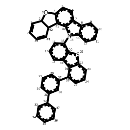 C1=CC2Oc3ccc4c5ccccc5n(-c5cccc6c5sc5cccc(-c7cccc(-c8ccccc8)c7)c56)c4c3C2C=C1